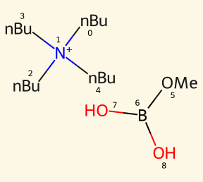 CCCC[N+](CCCC)(CCCC)CCCC.COB(O)O